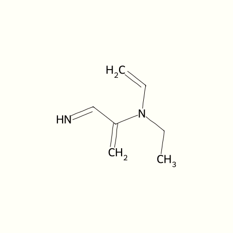 C=CN(CC)C(=C)C=N